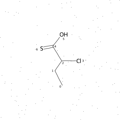 CCC(Cl)C(O)=S